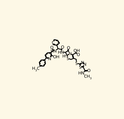 CNC(=O)c1nnc(SCC2=C(C(=O)O)N3C(=O)C(NC(=O)C(NC(=O)c4ccc(-c5ccc(C)cc5)nc4O)c4ccccc4)[C@@H]3SC2)s1